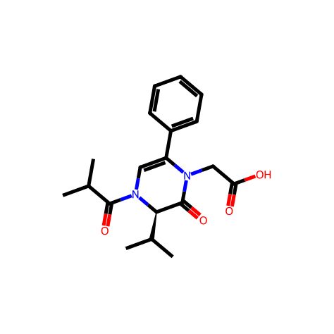 CC(C)C(=O)N1C=C(c2ccccc2)N(CC(=O)O)C(=O)[C@H]1C(C)C